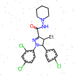 CCC1C(C(=O)NN2CCCCC2)=NN(c2ccc(Cl)cc2Cl)C1c1ccc(Cl)cc1